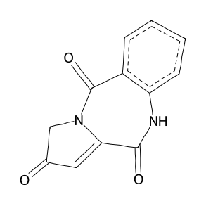 O=C1C=C2C(=O)Nc3ccccc3C(=O)N2C1